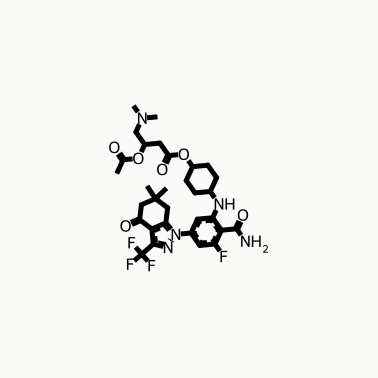 CC(=O)OC(CC(=O)OC1CCC(Nc2cc(-n3nc(C(F)(F)F)c4c3CC(C)(C)CC4=O)cc(F)c2C(N)=O)CC1)CN(C)C